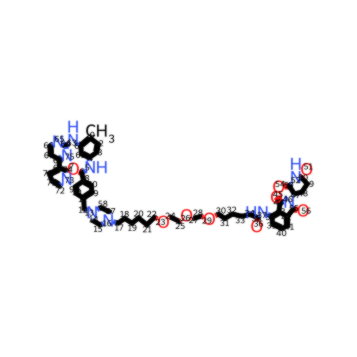 Cc1ccc(NC(=O)c2ccc(CN3CCN(CCCCCCOCCOCCOCCCCCC(=O)Nc4cccc5c4C(=O)N(C4CCC(=O)NC4=O)C5=O)CC3)cc2)cc1Nc1nccc(-c2cccnc2)n1